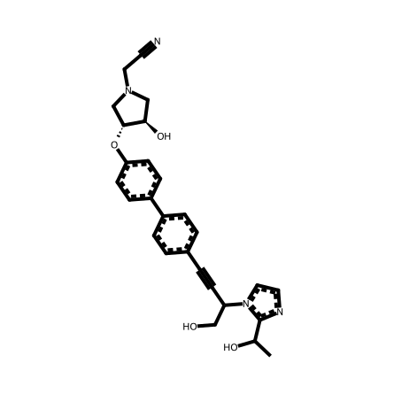 CC(O)c1nccn1C(C#Cc1ccc(-c2ccc(O[C@@H]3CN(CC#N)C[C@H]3O)cc2)cc1)CO